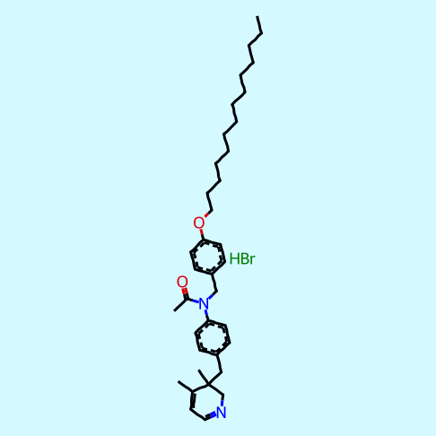 Br.CCCCCCCCCCCCCCOc1ccc(CN(C(C)=O)c2ccc(CC3(C)CN=CC=C3C)cc2)cc1